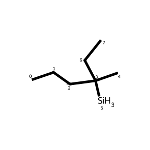 CC[CH]C(C)([SiH3])CC